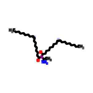 CCCCCCCC/C=C\CCCCCCCC(=O)P(C(=O)CCCCCCC/C=C\CCCCCCCC)C(C)N